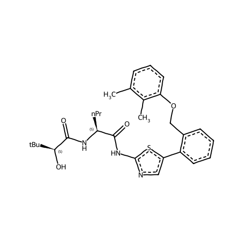 CCC[C@H](NC(=O)[C@@H](O)C(C)(C)C)C(=O)Nc1ncc(-c2ccccc2COc2cccc(C)c2C)s1